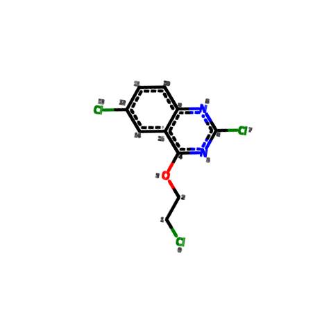 ClCCOc1nc(Cl)nc2ccc(Cl)cc12